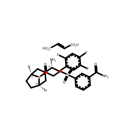 NC(=O)c1cccc(S(=O)(=O)CCC(=O)N2[C@@H]3CC[C@H]2CC([C@H](N)Cc2cc(F)c(F)cc2F)C3)c1.O=C(O)C=CC(=O)O